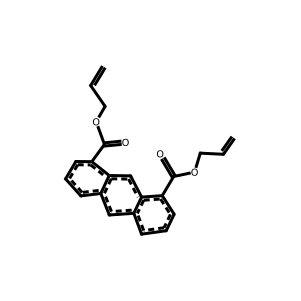 C=CCOC(=O)c1cccc2cc3cccc(C(=O)OCC=C)c3cc12